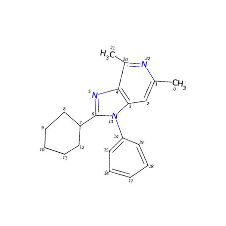 Cc1cc2c(nc(C3CCCCC3)n2-c2c[c]ccc2)c(C)n1